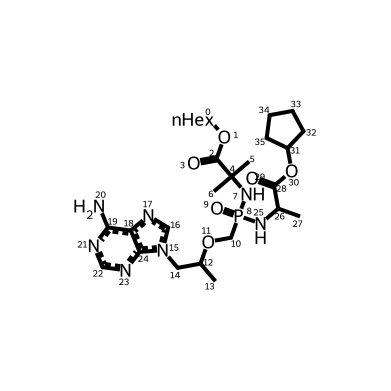 CCCCCCOC(=O)C(C)(C)NP(=O)(COC(C)Cn1cnc2c(N)ncnc21)NC(C)C(=O)OC1CCCC1